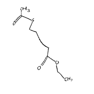 CCOC(=O)CCCCSC(C)=O